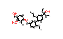 CCCc1cc(C(O)(CC)CC)ccc1-c1cc(COc2ccc(CO)c(O)c2C)ccc1CC